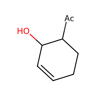 CC(=O)C1CCC=CC1O